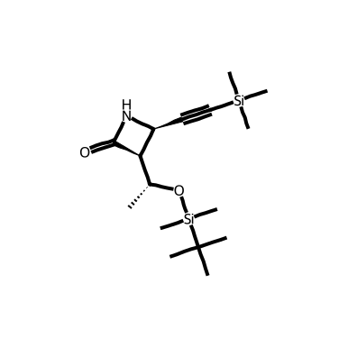 C[C@@H](O[Si](C)(C)C(C)(C)C)[C@H]1C(=O)N[C@H]1C#C[Si](C)(C)C